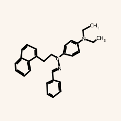 CCN(CC)c1ccc(N(CCc2cccc3ccccc23)N=Cc2ccccc2)cc1